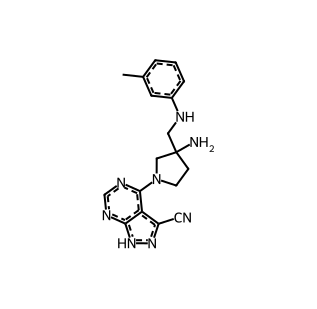 Cc1cccc(NCC2(N)CCN(c3ncnc4[nH]nc(C#N)c34)C2)c1